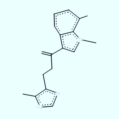 Cc1[nH]cnc1CCC(=O)c1cn(C)c2c(C)cccc12